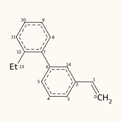 C=Cc1cccc(-c2ccccc2CC)c1